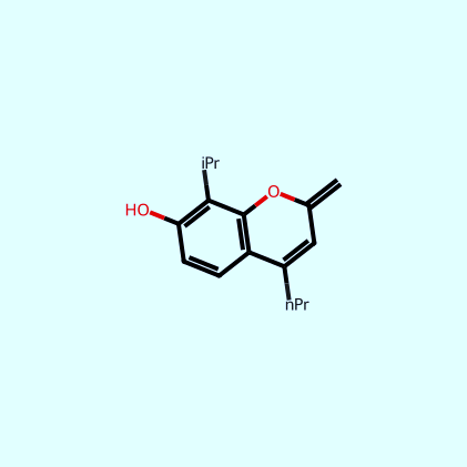 C=C1C=C(CCC)c2ccc(O)c(C(C)C)c2O1